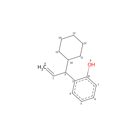 C=CC(c1ccccc1O)C1CCCCC1